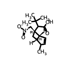 CC1C=C[C@@H]2[C@H]1C[C@]2(C[N+](=O)[O-])C(C(=O)O)C(C)(C)C